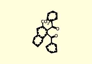 O=C(O)c1cc2ccccc2c(C(=O)c2ccccc2)c1C(=O)c1ccccc1